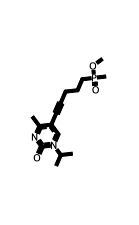 COP(C)(=O)CCCC#Cc1cn(C(C)C)c(=O)nc1C